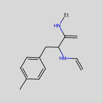 C=CNC(Cc1ccc(C)cc1)C(=C)NCC